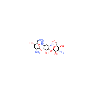 NC[C@H]1OC(O[C@H]2[C@H](O)[C@@H](O[C@H]3O[C@H](CO)[C@@H](O)[C@H](N)[C@H]3O)[C@H](N)C[C@@H]2N)[C@H](N)C[C@@H]1O